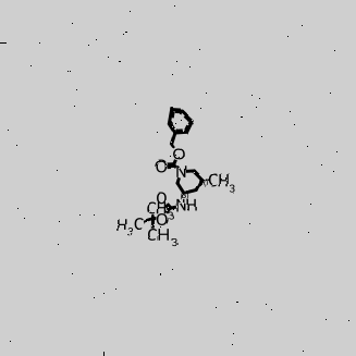 C[C@@H]1C[C@H](NC(=O)OC(C)(C)C)CN(C(=O)OCc2ccccc2)C1